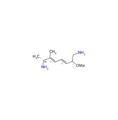 COC(/C=C/C=C(\C)[C@@H](C)N)CN